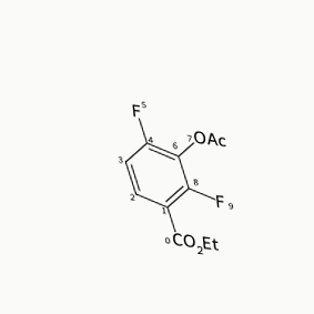 CCOC(=O)c1ccc(F)c(OC(C)=O)c1F